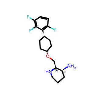 N[C@H]1CCCN[C@H]1CO[C@H]1CC[C@@H](c2c(F)ccc(F)c2F)CC1